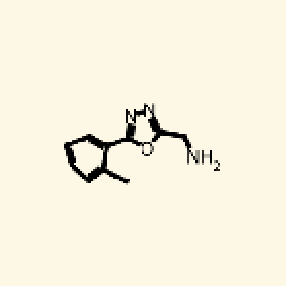 Cc1ccccc1-c1nnc(CN)o1